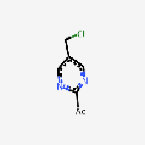 CC(=O)c1ncc(CCl)cn1